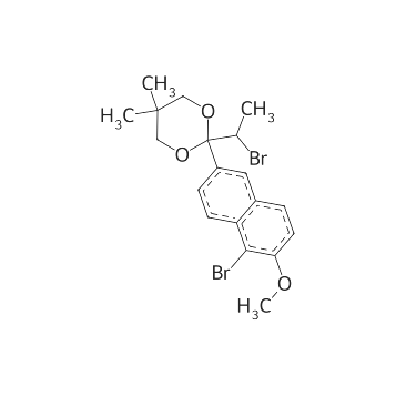 COc1ccc2cc(C3(C(C)Br)OCC(C)(C)CO3)ccc2c1Br